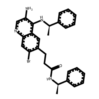 C[C@@H](NC(=O)CCc1cc2c(N[C@H](C)c3ccccc3)c(N)cnc2cc1Br)c1ccccc1